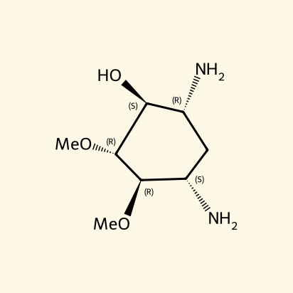 CO[C@@H]1[C@@H](O)[C@H](N)C[C@H](N)[C@H]1OC